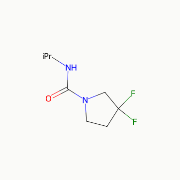 CC(C)NC(=O)N1CCC(F)(F)C1